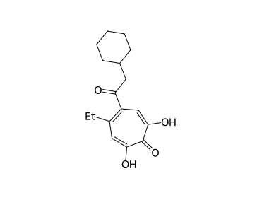 CCc1cc(O)c(=O)c(O)cc1C(=O)CC1CCCCC1